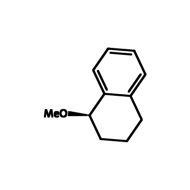 CO[C@@H]1CCCc2ccccc21